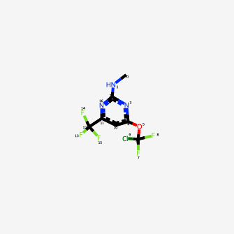 CNc1nc(OC(F)(F)Cl)cc(C(F)(F)F)n1